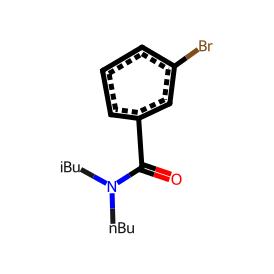 CCCCN(C(=O)c1cccc(Br)c1)C(C)CC